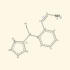 N/C=C\c1ccccc1C(I)c1cccs1